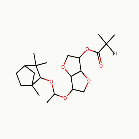 CCC(C)(C)C(=O)OC1COC2C(OC(C)OC3C4(C)CCC(C4)C3(C)C)COC12